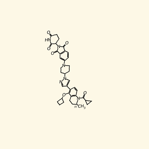 C[C@H]1CCc2c(ccc(-c3cnn(C4CCN(c5ccc6c(c5)C(=O)N(C5CCC(=O)NC5=O)C6=O)CC4)c3)c2OC2CCC2)N1C(=O)C1CC1